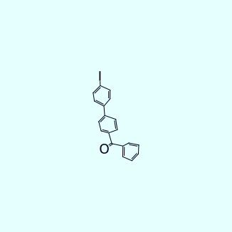 O=C(c1ccccc1)c1ccc(-c2ccc(I)cc2)cc1